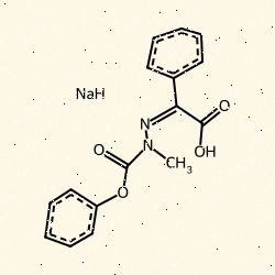 CN(N=C(C(=O)O)c1ccccc1)C(=O)Oc1ccccc1.[NaH]